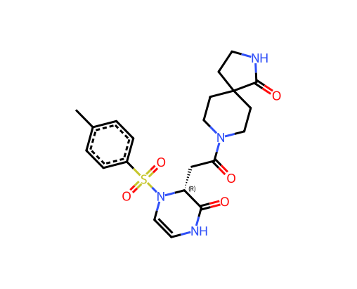 Cc1ccc(S(=O)(=O)N2C=CNC(=O)[C@H]2CC(=O)N2CCC3(CCNC3=O)CC2)cc1